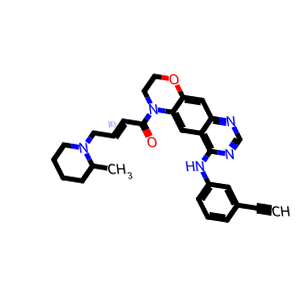 C#Cc1cccc(Nc2ncnc3cc4c(cc23)N(C(=O)/C=C/CN2CCCCC2C)CCO4)c1